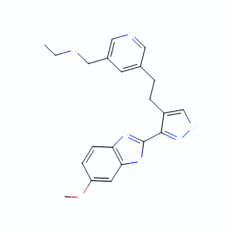 CCNCc1cncc(CCc2c[nH]nc2-c2nc3ccc(OC)cc3[nH]2)c1